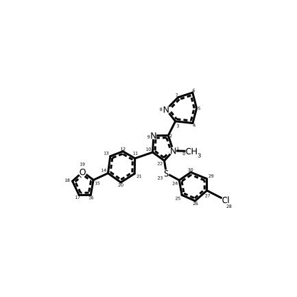 Cn1c(-c2ccccn2)nc(-c2ccc(-c3ccco3)cc2)c1Sc1ccc(Cl)cc1